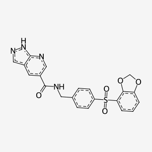 O=C(NCc1ccc(S(=O)(=O)c2cccc3c2OCO3)cc1)c1cnc2[nH]ncc2c1